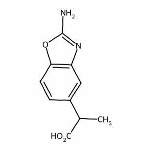 CC(C(=O)O)c1ccc2oc(N)nc2c1